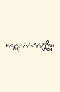 CC(C)CCCCCCCCCCCCCC(C(=O)O)C(=O)O